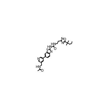 CC(=O)NCc1cncc(-c2ccc3nc(NC(=O)NCCc4noc(C(C)(C)CF)n4)sc3c2)c1